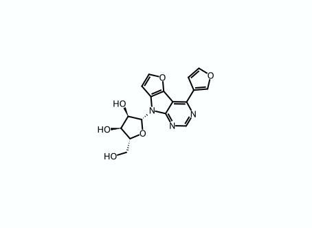 OC[C@H]1O[C@@H](n2c3ccoc3c3c(-c4ccoc4)ncnc32)[C@H](O)[C@@H]1O